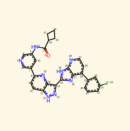 O=C(Nc1cncc(-c2ccc3[nH]nc(-c4nc5c(-c6cccc(F)c6)ccnc5[nH]4)c3n2)c1)C1CCC1